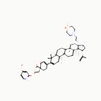 C=C(C)[C@@H]1CC[C@]2(NCCN3CCS(=O)(=O)CC3)CC[C@]3(C)[C@H](CC[C@@H]4[C@@H]5[C@@H](CC[C@]43C)C(C)(C)C(C3=CCC(CCOc4cc(OC)ccn4)(C(=O)O)CC3)=C[C@@H]5C)[C@@H]12